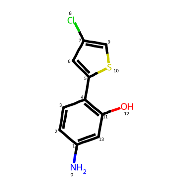 Nc1ccc(-c2cc(Cl)cs2)c(O)c1